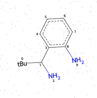 CC(C)(C)C(N)c1ccccc1N